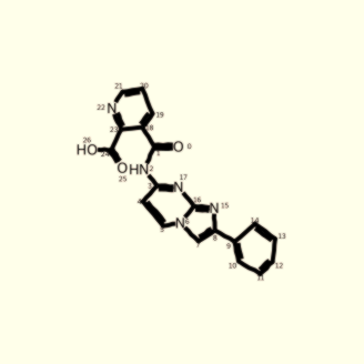 O=C(Nc1ccn2cc(-c3ccccc3)nc2n1)c1cccnc1C(=O)O